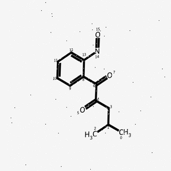 CC(C)CC(=O)C(=O)c1ccccc1N=O